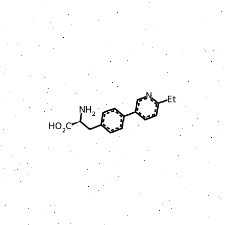 CCc1ccc(-c2ccc(C[C@H](N)C(=O)O)cc2)cn1